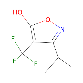 CC(C)c1noc(O)c1C(F)(F)F